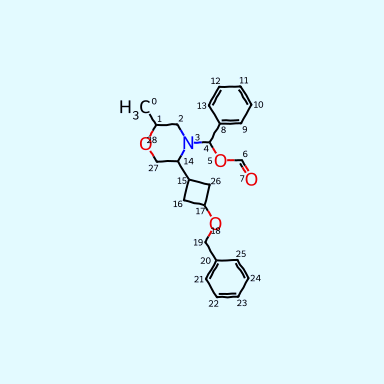 CC1CN(C(OC=O)c2ccccc2)C(C2CC(OCc3ccccc3)C2)CO1